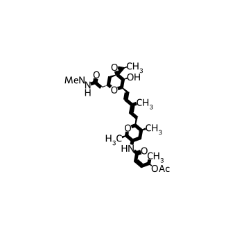 CNNC(=O)C[C@@H]1C[C@]2(O[C@@H]2C)[C@H](O)[C@@H](/C=C/C(C)=C/C[C@@H]2O[C@H](C)C(NC(=O)/C=C\[C@H](C)OC(C)=O)C[C@@H]2C)O1